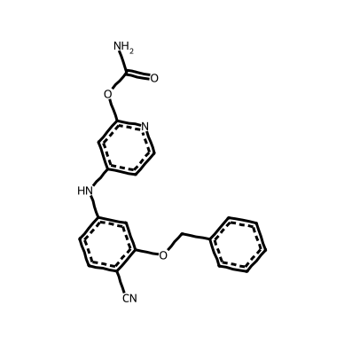 N#Cc1ccc(Nc2ccnc(OC(N)=O)c2)cc1OCc1ccccc1